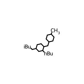 CCCCC1CC(CC(C)CC)CCC1CC1CCC(C)CC1